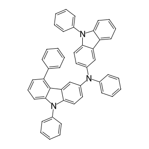 c1ccc(-c2cccc3c2c2cc(N(c4ccccc4)c4ccc5c(c4)c4ccccc4n5-c4ccccc4)ccc2n3-c2ccccc2)cc1